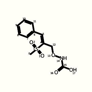 CS(=O)(=O)C(=Cc1ccccc1)CONC(=O)O